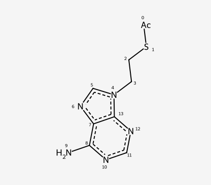 CC(=O)SCCn1cnc2c(N)ncnc21